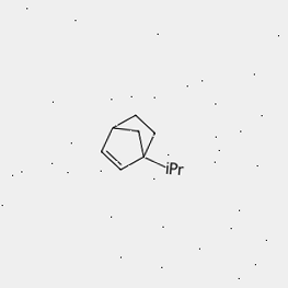 CC(C)C12C=CC(CC1)C2